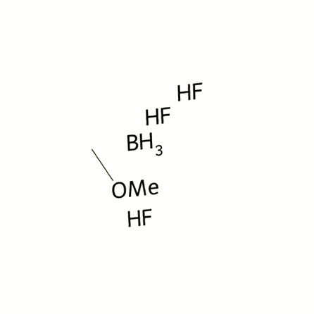 B.COC.F.F.F